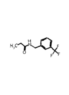 CCC(=O)NCc1cccc(C(F)(F)F)c1